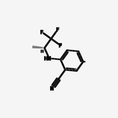 C[C@@H](Nc1cc[c]cc1C#N)C(F)(F)F